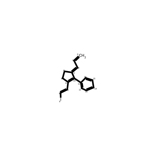 C=C/C=C1\CCC(/C=C/I)=C1c1ccccc1